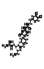 N=C(N)NCCCN(CCCN)Cc1ccc(-c2c[nH]c(NC(=O)NCCc3ccc(Cl)c(Cl)c3)nc2=O)cc1